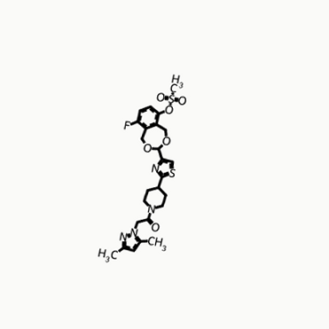 Cc1cc(C)n(CC(=O)N2CCC(c3nc(C4OCc5c(F)ccc(OS(C)(=O)=O)c5CO4)cs3)CC2)n1